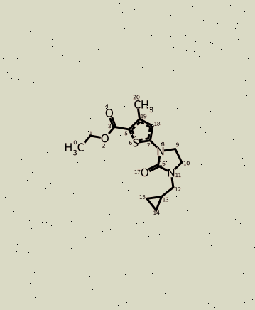 CCOC(=O)c1sc(N2CCN(CC3CC3)C2=O)cc1C